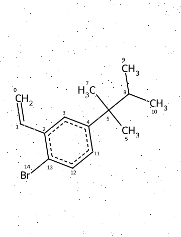 C=Cc1cc(C(C)(C)C(C)C)ccc1Br